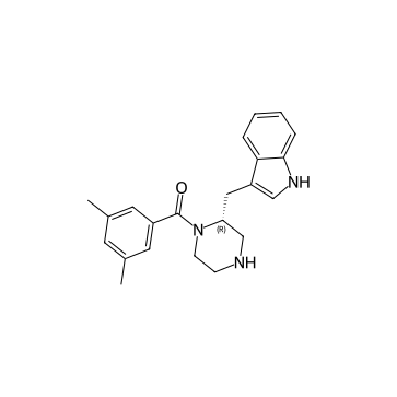 Cc1cc(C)cc(C(=O)N2CCNC[C@H]2Cc2c[nH]c3ccccc23)c1